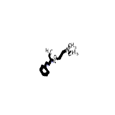 CCC(/C=C/c1ccccc1)=N\OCCN(C)C